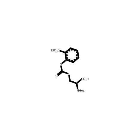 CCOC(=O)c1ccccc1OC(=O)SCC(NC(C)=O)C(=O)O